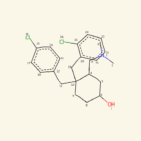 CN(C)CC1CC(O)CCC1(Cc1ccc(Cl)cc1)Cc1ccccc1Cl